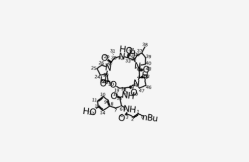 CCCC/C=C/C(=O)N[C@@H](Cc1cccc(O)c1)C(=O)N[C@H]1COC(=O)[C@@H]2CCCN2C(=O)[C@H](C)NC(=O)[C@@H]2CC(C)CCN2C(=O)[C@@H]2CCCN2C1=O